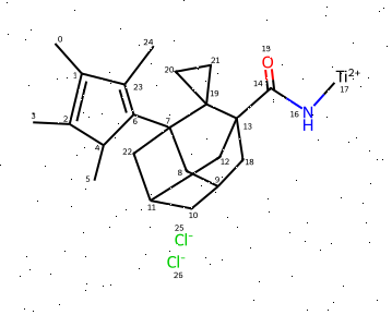 CC1=C(C)C(C)C(C23CC4CC(CC(C(=O)[NH][Ti+2])(C4)C24CC4)C3)=C1C.[Cl-].[Cl-]